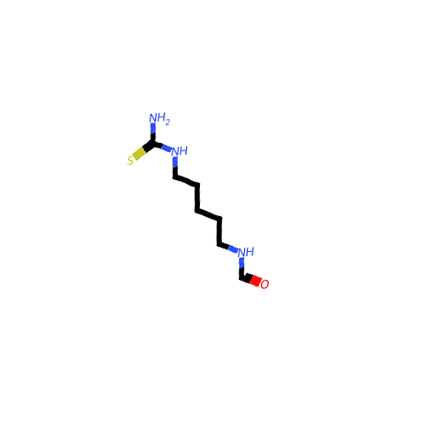 NC(=S)NCCCCCNC=O